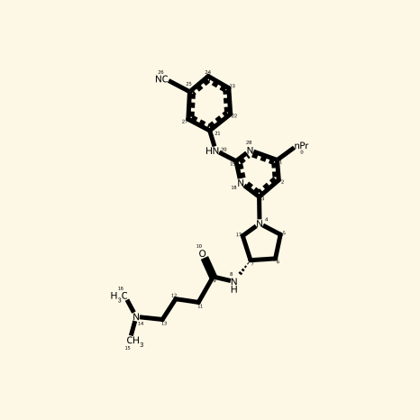 CCCc1cc(N2CC[C@H](NC(=O)CCCN(C)C)C2)nc(Nc2cccc(C#N)c2)n1